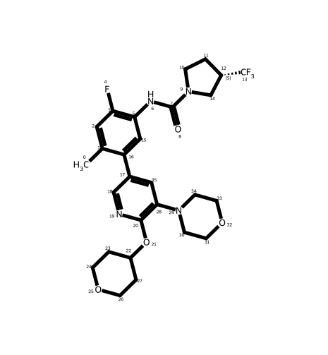 Cc1cc(F)c(NC(=O)N2CC[C@H](C(F)(F)F)C2)cc1-c1cnc(OC2CCOCC2)c(N2CCOCC2)c1